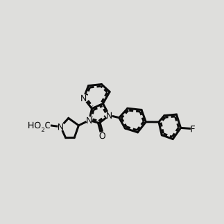 O=C(O)N1CCC(n2c(=O)n(-c3ccc(-c4ccc(F)cc4)cc3)c3cccnc32)C1